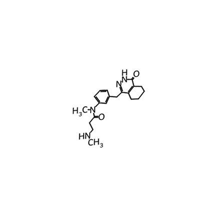 CNCCC(=O)N(C)c1cccc(Cc2n[nH]c(=O)c3c2CCCC3)c1